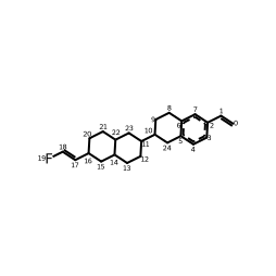 C=Cc1ccc2c(c1)CCC(C1CCC3CC(C=CF)CCC3C1)C2